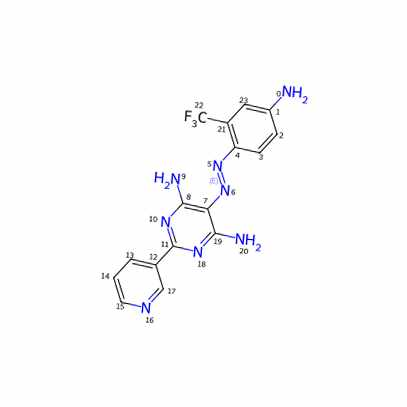 Nc1ccc(/N=N/c2c(N)nc(-c3cccnc3)nc2N)c(C(F)(F)F)c1